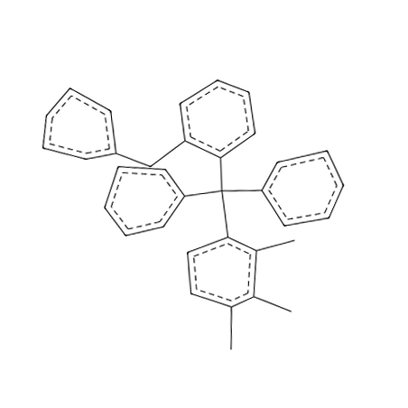 Cc1ccc(C(c2ccccc2)(c2ccccc2)c2ccccc2Cc2ccccc2)c(C)c1C